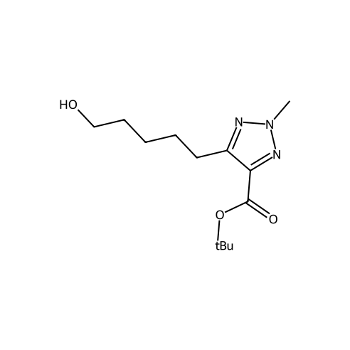 Cn1nc(CCCCCO)c(C(=O)OC(C)(C)C)n1